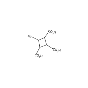 CC(=O)C1C(C(=O)O)C(C(=O)O)C1C(=O)O